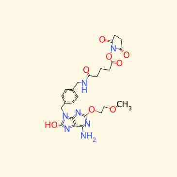 COCCOc1nc(N)c2nc(O)n(Cc3ccc(CNC(=O)CCCC(=O)ON4C(=O)CCC4=O)cc3)c2n1